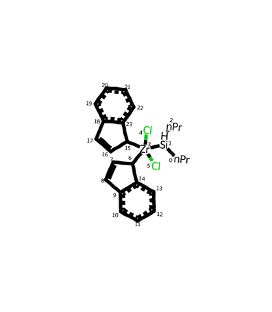 CCC[SiH](CCC)[Zr]([Cl])([Cl])([CH]1C=Cc2ccccc21)[CH]1C=Cc2ccccc21